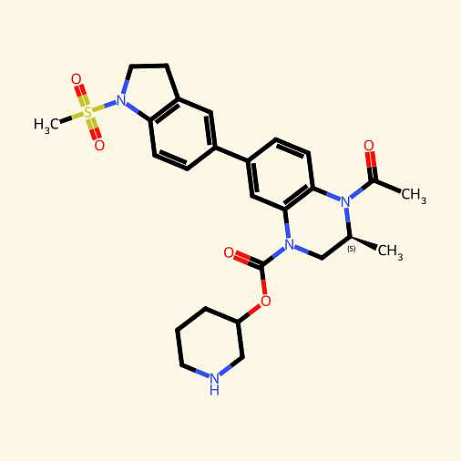 CC(=O)N1c2ccc(-c3ccc4c(c3)CCN4S(C)(=O)=O)cc2N(C(=O)OC2CCCNC2)C[C@@H]1C